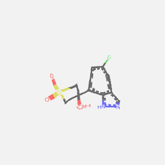 O=S1(=O)CC(O)(c2cc(Cl)cc3cn[nH]c23)C1